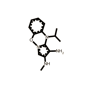 CNc1cn2c(c1N)N(C(C)C)c1ccccc1O2